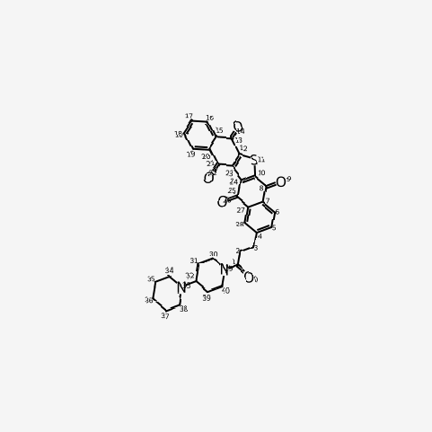 O=C(CCc1ccc2c(=O)c3sc4c(=O)c5ccccc5c(=O)c4c3c(=O)c2c1)N1CCC(N2CCCCC2)CC1